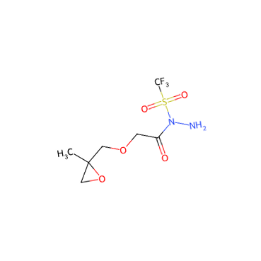 CC1(COCC(=O)N(N)S(=O)(=O)C(F)(F)F)CO1